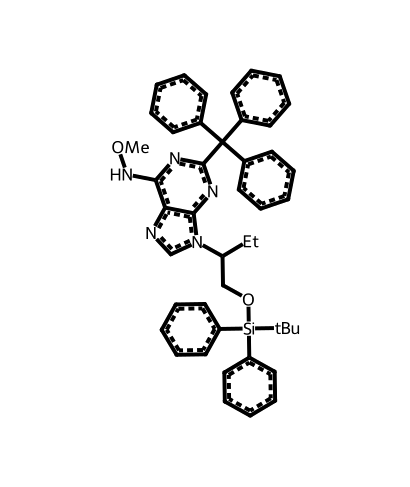 CCC(CO[Si](c1ccccc1)(c1ccccc1)C(C)(C)C)n1cnc2c(NOC)nc(C(c3ccccc3)(c3ccccc3)c3ccccc3)nc21